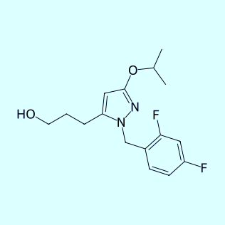 CC(C)Oc1cc(CCCO)n(Cc2ccc(F)cc2F)n1